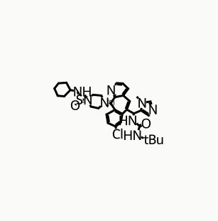 Cn1cncc1C(NC(=O)NC(C)(C)C)C1=Cc2cccnc2[C@@H](N2CCN([S+]([O-])NC3CCCCC3)CC2)c2ccc(Cl)cc21